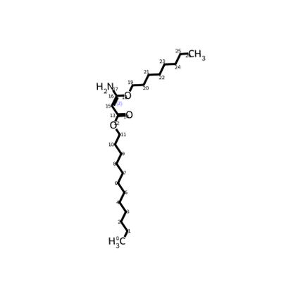 CCCCCCCCCCCCOC(=O)/C=C(/N)OCCCCCCCC